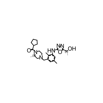 Cc1cc(CN2CCN(C(=O)C3CCCC3)[C@@H](C)C2)c(C)c(Nc2nnc([C@@H](C)O)o2)c1